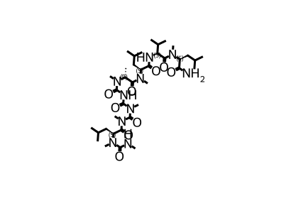 CNC(=O)N(C)[C@@H](CC(C)C)C(=O)N(C)C(=O)N(C)C(=O)NC(=O)N(C)[C@H](C)C(=O)N(C)[C@@H](CC(C)C)C(=O)N[C@H](C(=O)N(C)[C@@H](CC(C)C)C(N)=O)C(C)C